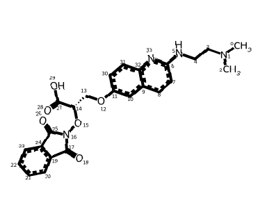 CN(C)CCNc1ccc2cc(OC[C@H](ON3C(=O)c4ccccc4C3=O)C(=O)O)ccc2n1